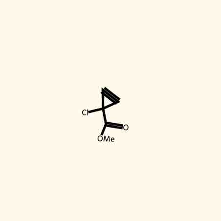 COC(=O)C1(Cl)C#C1